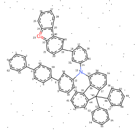 c1ccc(-c2ccc(-c3cccc(N(c4cccc(-c5ccc6oc7ccccc7c6c5)c4)c4cccc5c4-c4ccccc4C5(c4ccccc4)c4ccccc4)c3)cc2)cc1